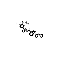 Nc1cc(C(=O)N/N=C/c2cccc3c2ccn3C(=O)CC2CCCC2)ccc1O